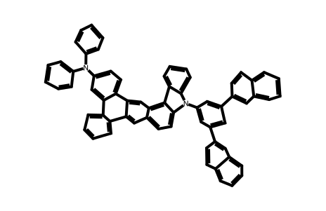 c1ccc(N(c2ccccc2)c2ccc3c(c2)c2ccccc2c2cc4ccc5c(c4cc32)c2ccccc2n5-c2cc(-c3ccc4ccccc4c3)cc(-c3ccc4ccccc4c3)c2)cc1